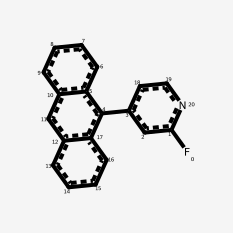 Fc1cc(-c2c3ccccc3cc3ccccc23)ccn1